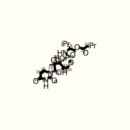 CC(C)C(=O)OC[C@@H](N[P@@]1(=O)OC[C@H]2O[C@@H](n3ccc(=O)[nH]c3=O)[C@](C)(Cl)[C@@H]2O1)C(C)C